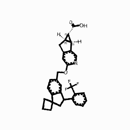 O=C(O)[C@H]1[C@@H]2Cc3cc(OCc4ccc5c(c4)C(c4ccccc4C(F)(F)F)CC54CCC4)ncc3[C@@H]21